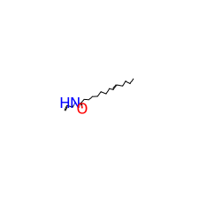 C=CCNC(=O)CCCCCCCC=CCCCC